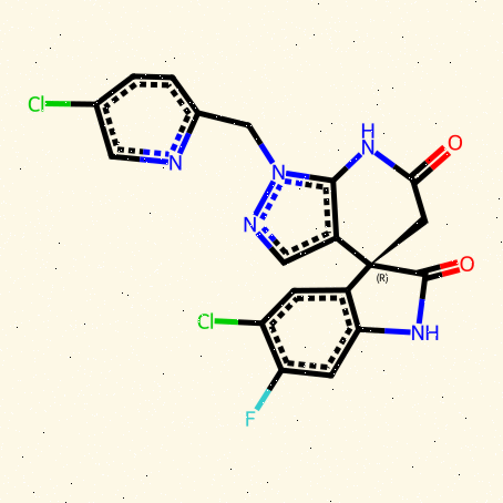 O=C1C[C@]2(C(=O)Nc3cc(F)c(Cl)cc32)c2cnn(Cc3ccc(Cl)cn3)c2N1